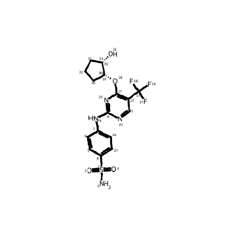 NS(=O)(=O)c1ccc(Nc2ncc(C(F)(F)F)c(O[C@@H]3CCC[C@@H]3O)n2)cc1